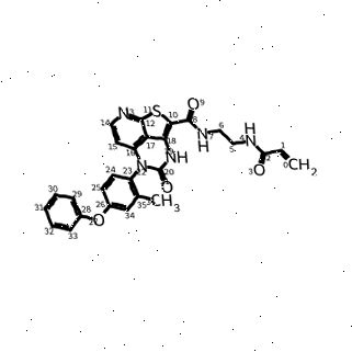 C=CC(=O)NCCNC(=O)c1sc2nccc3c2c1NC(=O)N3c1ccc(Oc2ccccc2)cc1C